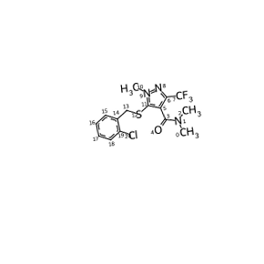 CN(C)C(=O)c1c(C(F)(F)F)nn(C)c1SCc1ccccc1Cl